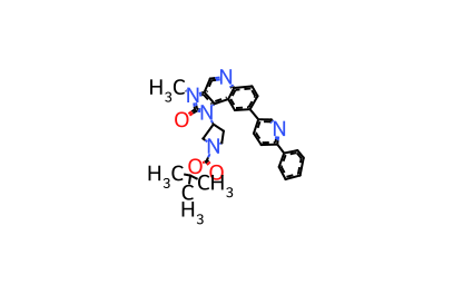 Cn1c(=O)n([C@H]2CCN(C(=O)OC(C)(C)C)C2)c2c3cc(-c4ccc(-c5ccccc5)nc4)ccc3ncc21